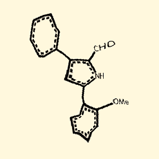 COc1ccccc1-c1cc(-c2ccccc2)c(C=O)[nH]1